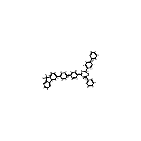 CC1(C)c2ccccc2-c2cc(-c3ccc(-c4ccc(-c5nc(-c6ccccc6)nc(-c6ccc(-c7ccccn7)cc6)n5)cc4)cc3)ccc21